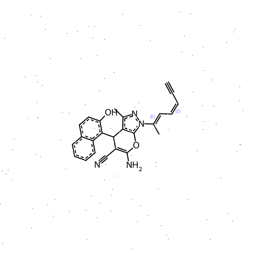 C#C/C=C\C=C(/C)n1nc(C)c2c1OC(N)=C(C#N)C2c1c(O)ccc2ccccc12